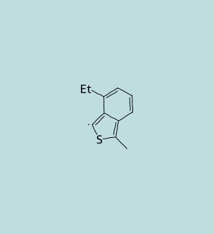 CCc1cccc2c(C)s[c]c12